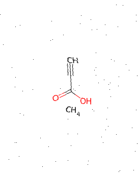 C.C#CC(=O)O